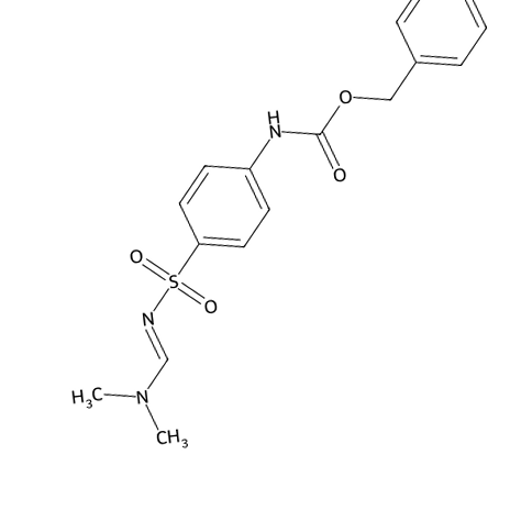 CN(C)C=NS(=O)(=O)c1ccc(NC(=O)OCc2ccccc2)cc1